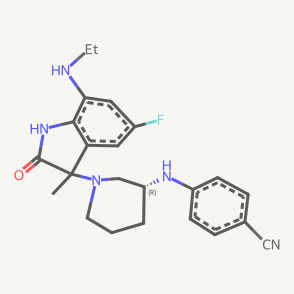 CCNc1cc(F)cc2c1NC(=O)C2(C)N1CCC[C@@H](Nc2ccc(C#N)cc2)C1